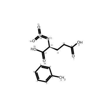 Cc1ccccc1.O=C(O)CC[C@H](N=S(=O)=O)C(=O)O